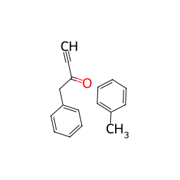 C#CC(=O)Cc1ccccc1.Cc1ccccc1